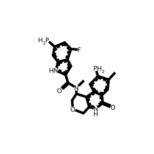 Cc1cc2c(=O)[nH]c3c(c2cc1P)C(N(C)C(=O)c1cc2c(F)cc(P)cc2[nH]1)COC3